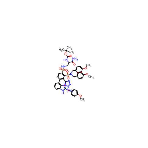 COc1ccc(CN(Cc2ccc(OC)cc2)S(=O)(=O)c2c(S(=O)(=O)NCC(NC(=O)OC(C)(C)C)C(N)=O)ccc(-c3cccc4[nH]c(N)nc34)c2-c2nnn(Cc3ccc(OC)cc3)n2)cc1